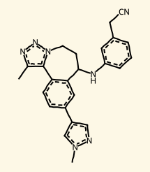 Cc1nnn2c1-c1ccc(-c3cnn(C)c3)cc1C(Nc1cccc(CC#N)c1)CC2